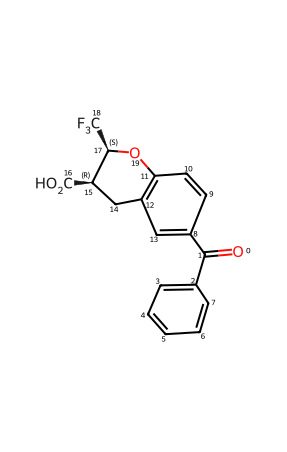 O=C(c1ccccc1)c1ccc2c(c1)C[C@@H](C(=O)O)[C@@H](C(F)(F)F)O2